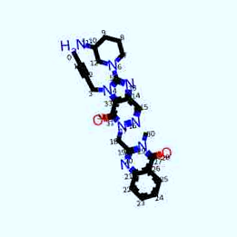 CC#CCn1c(N2CCCC(N)C2)nc2cnn(Cc3nc4ccccc4c(=O)n3C)c(=O)c21